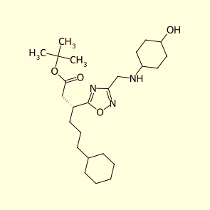 CC(C)(C)OC(=O)C[C@@H](CCCC1CCCCC1)c1nc(CNC2CCC(O)CC2)no1